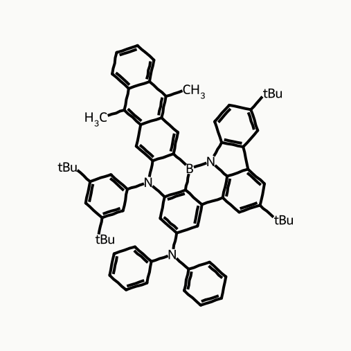 Cc1c2ccccc2c(C)c2cc3c(cc12)B1c2c(cc(N(c4ccccc4)c4ccccc4)cc2N3c2cc(C(C)(C)C)cc(C(C)(C)C)c2)-c2cc(C(C)(C)C)cc3c4cc(C(C)(C)C)ccc4n1c23